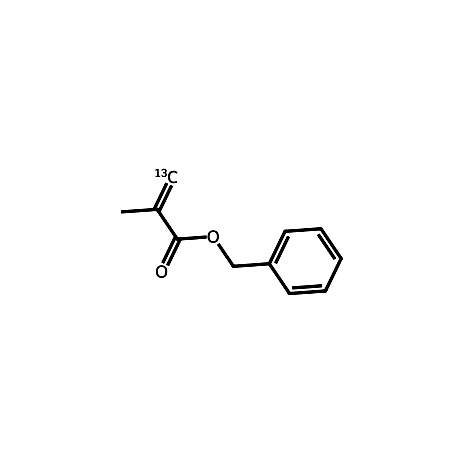 CC(=[13CH2])C(=O)OCc1ccccc1